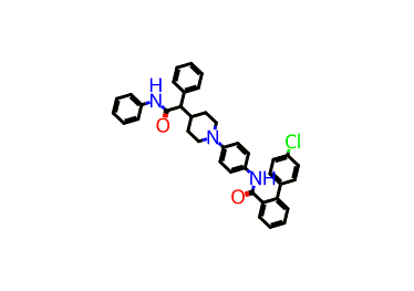 O=C(Nc1ccc(N2CCC(C(C(=O)Nc3ccccc3)c3ccccc3)CC2)cc1)c1ccccc1-c1ccc(Cl)cc1